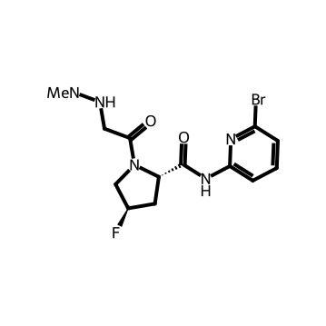 CNNCC(=O)N1C[C@H](F)C[C@H]1C(=O)Nc1cccc(Br)n1